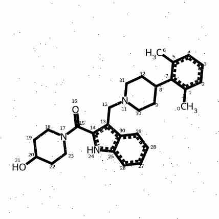 Cc1cccc(C)c1C1CCN(Cc2c(C(=O)N3CCC(O)CC3)[nH]c3ccccc23)CC1